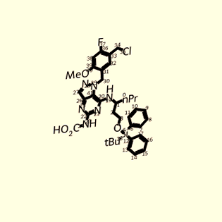 CCCC(CCO[Si](c1ccccc1)(c1ccccc1)C(C)(C)C)Nc1nc(NC(=O)O)nc2cnn(Cc3cc(CCl)c(F)cc3OC)c12